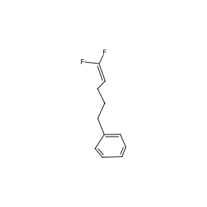 FC(F)=CCCCc1ccccc1